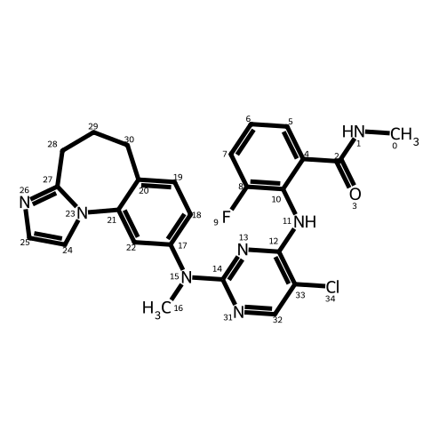 CNC(=O)c1cccc(F)c1Nc1nc(N(C)c2ccc3c(c2)-n2ccnc2CCC3)ncc1Cl